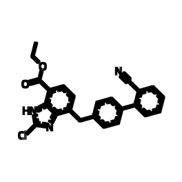 CCOC(=O)c1ccc(Cc2ccc(-c3ccccc3C#N)cc2)c2nc(Cl)[nH]c12